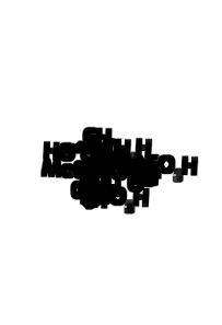 COc1cc2c(cc1OCCP(=O)(CCOc1cc3c(cc1OC)C(=O)N1CCC[C@H]1C(S(=O)(=O)O)N3)N(C)CCN(C)C(=O)CCCO)NC(S(=O)(=O)O)[C@H]1CCCN1C2=O